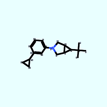 CC(C)(C)C1C2CN(c3cccc(C4CC4)c3)CC21